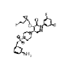 Nc1cccc(CS(=O)(=O)N2CCN(c3cnn(-c4cc(F)cc(F)c4)c(=O)c3OCC3(CCF)CC3)CC2)c1